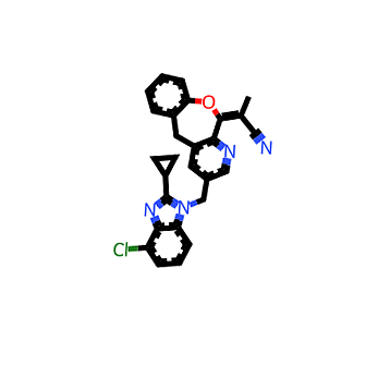 CC(C#N)=C1Oc2ccccc2Cc2cc(Cn3c(C4CC4)nc4c(Cl)cccc43)cnc21